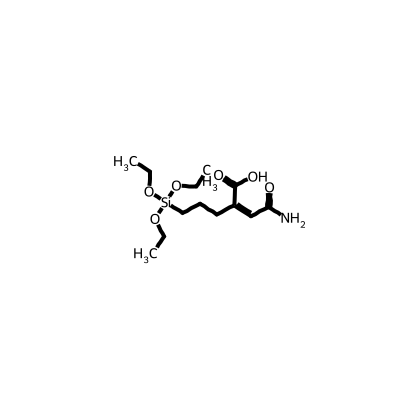 CCO[Si](CCCC(=CC(N)=O)C(=O)O)(OCC)OCC